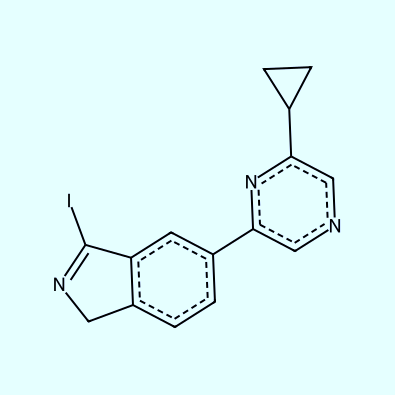 IC1=NCc2ccc(-c3cncc(C4CC4)n3)cc21